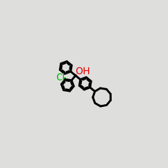 OC(c1ccccc1)(c1ccc(C2CCCCCCCC2)cc1)c1ccccc1Cl